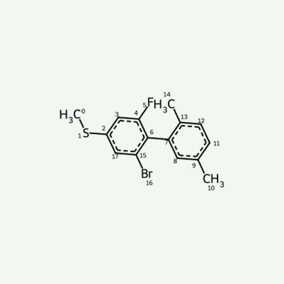 CSc1cc(F)c(-c2cc(C)ccc2C)c(Br)c1